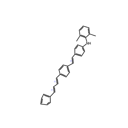 Cc1cccc(C)c1Nc1ccc(/C=C/c2ccc(/C=C/C=C/c3ccccc3)cc2)cc1